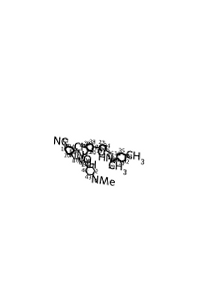 CN[C@H]1CC[C@@H](NC[C@@H](Cc2ccc(C#N)cc2)NC(=O)c2cc(-c3ccc(CN[C@H](C)c4ccc(C)cc4)o3)ccc2Cl)CC1